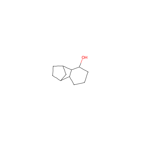 OC1CCCC2C3CCC(C3)C12